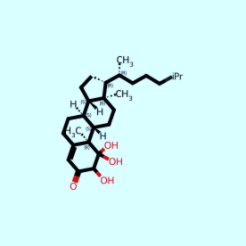 CC(C)CCC[C@@H](C)[C@H]1CC[C@H]2[C@@H]3CCC4=CC(=O)C(O)C(O)(O)[C@]4(C)[C@H]3CC[C@]12C